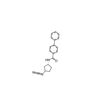 [N-]=[N+]=NC1CC[C@@H](NC(=O)c2ccc(-c3ccccc3)cc2)C1